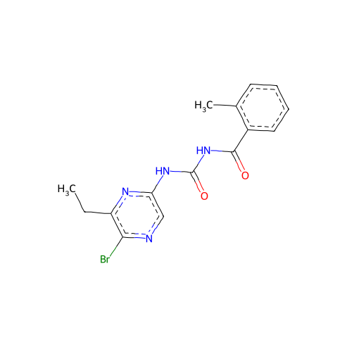 CCc1nc(NC(=O)NC(=O)c2ccccc2C)cnc1Br